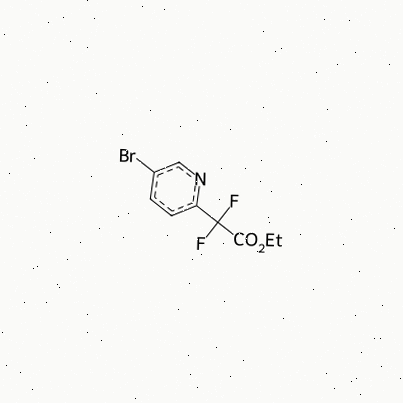 CCOC(=O)C(F)(F)c1ccc(Br)cn1